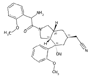 COc1ccccc1C(N)C(=O)N1C[C@@H]2C[C@@H](CC#N)C[C@@](O)(c3ccccc3OC)[C@@H]2C1